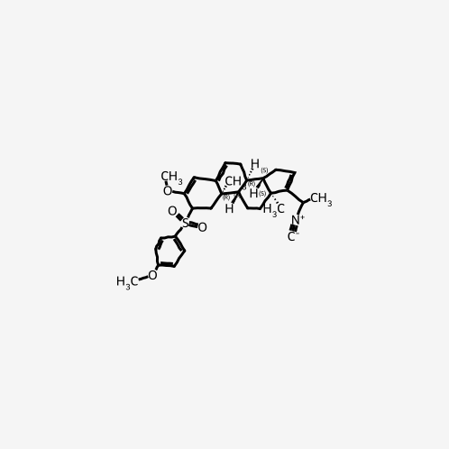 [C-]#[N+]C(C)C1=CC[C@H]2[C@@H]3CC=C4C=C(OC)C(S(=O)(=O)c5ccc(OC)cc5)C[C@]4(C)[C@H]3CC[C@]12C